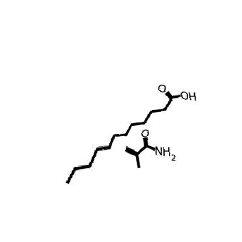 C=C(C)C(N)=O.CCCCCCCCCCCC(=O)O